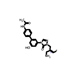 CC(=O)Nc1ccc(-c2cccc(-n3cnn(C/C(=C\F)CN)c3=O)c2)cc1.Cl